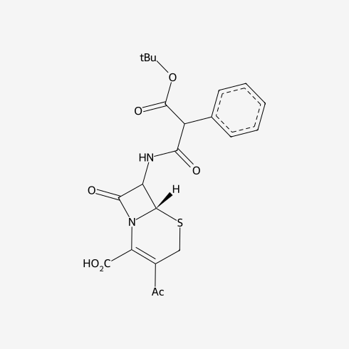 CC(=O)C1=C(C(=O)O)N2C(=O)C(NC(=O)C(C(=O)OC(C)(C)C)c3ccccc3)[C@@H]2SC1